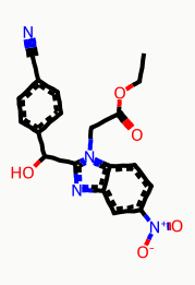 CCOC(=O)Cn1c(C(O)c2ccc(C#N)cc2)nc2cc([N+](=O)[O-])ccc21